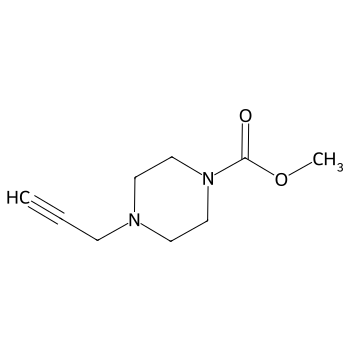 C#CCN1CCN(C(=O)OC)CC1